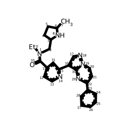 CCN(CC1CCC(C)N1)C(=O)c1ccnc(-c2cnn3ccc(-c4ccccc4)nc23)c1